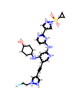 O=S(=O)(C1CC1)n1cc(-c2nccc(Nc3cc(NC4CCC(O)CC4)c(C#Cc4cnn(CCF)c4)cn3)n2)cn1